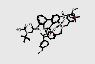 COc1ccc(CN(Cc2ccc(OC)cc2)S(=O)(=O)c2c(S(=O)(=O)CC[Si](C)(C)C)ccc(-c3cccc(NC(=O)CN(C(=O)O)C(C)(C)C)c3N)c2-c2nnn(Cc3ccc(OC)cc3)n2)cc1